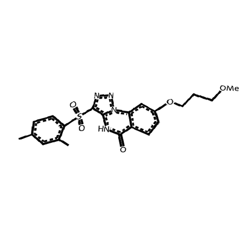 COCCCOc1ccc2c(=O)[nH]c3c(S(=O)(=O)c4ccc(C)cc4C)nnn3c2c1